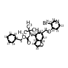 CC(C)(C)N(C(=O)OCc1ccccc1)c1cc(COc2ccncc2Br)cc2occc12